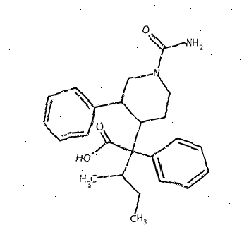 CCC(C)C(C(=O)O)(c1ccccc1)C1CCN(C(N)=O)CC1c1ccccc1